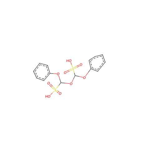 O=S(=O)(O)C(Oc1ccccc1)OC(Oc1ccccc1)S(=O)(=O)O